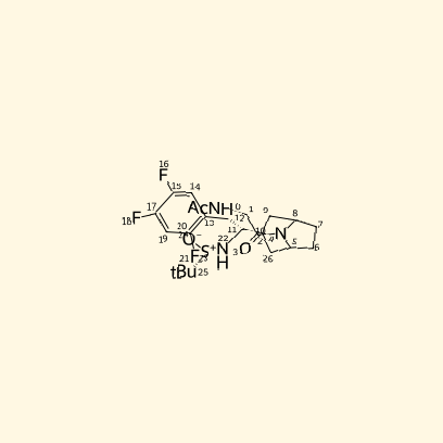 CC(=O)NCC(=O)N1C2CCC1CC([C@@H](Cc1cc(F)c(F)cc1F)N[S@@+]([O-])C(C)(C)C)C2